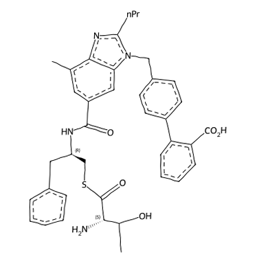 CCCc1nc2c(C)cc(C(=O)N[C@@H](CSC(=O)[C@@H](N)C(C)O)Cc3ccccc3)cc2n1Cc1ccc(-c2ccccc2C(=O)O)cc1